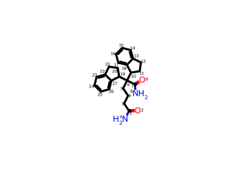 NC(=O)CCCC(C(N)=O)(C1CCc2ccccc21)C1CCc2ccccc21